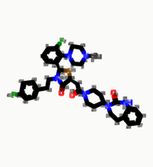 CC(C)(C)N1CCN(c2c(F)cccc2[C@H]2S[C@@H](CC(=O)N3CCC(N4CCc5ccccc5NC4=O)CC3)C(=O)N2CCc2ccc(F)cc2)CC1